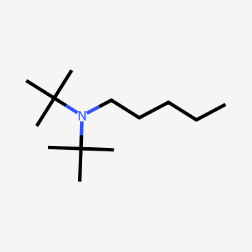 CCCCCN(C(C)(C)C)C(C)(C)C